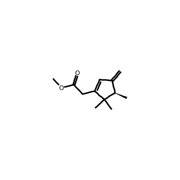 C=C1C=C(CC(=O)OC)C(C)(C)[C@@H]1C